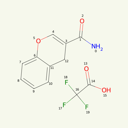 NC(=O)C1=COc2ccccc2C1.O=C(O)C(F)(F)F